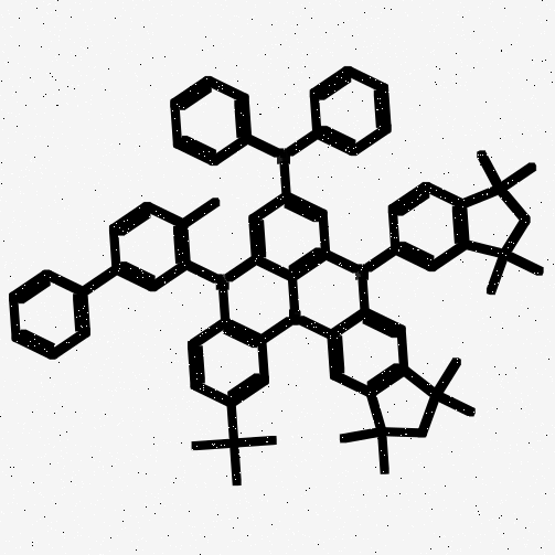 Cc1ccc(-c2ccccc2)cc1N1c2ccc(C(C)(C)C)cc2B2c3cc4c(cc3N(c3ccc5c(c3)C(C)(C)CC5(C)C)c3cc(N(c5ccccc5)c5ccccc5)cc1c32)C(C)(C)CC4(C)C